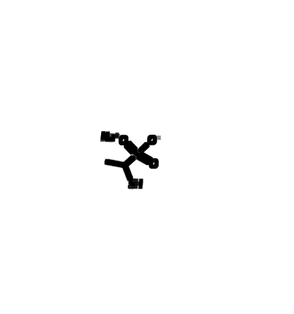 CC(S)S(=O)(=O)[O-].[Na+]